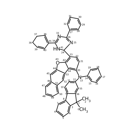 CC1(C)c2ccccc2-c2ccc(N(c3ccccc3)c3ccc(C4N=C(c5ccccc5)N=C(C5=CCCC=C5)N4)c4oc5cc6ccccc6cc5c34)cc21